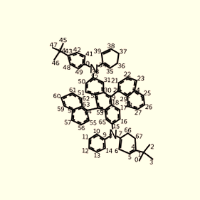 CC(C)(C)C1=CC=C(N(c2ccccc2)c2ccc3c(-c4cccc5ccccc45)c4cc(N(C5=CCCC=C5)c5ccc(C(C)(C)C)cc5)ccc4c(-c4cccc5ccccc45)c3c2)CC1